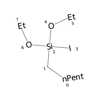 CCCCCC[Si](I)(OCC)OCC